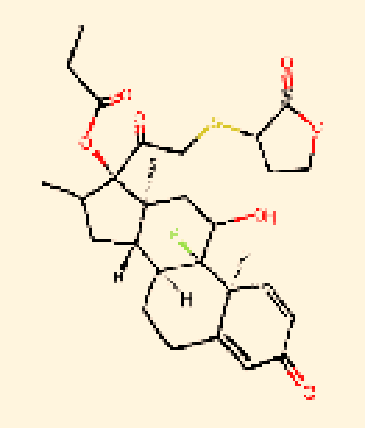 CCC(=O)O[C@]1(C(=O)CSC2CCOC2=O)C(C)C[C@H]2[C@@H]3CCC4=CC(=O)C=C[C@]4(C)[C@@]3(F)C(O)C[C@@]21C